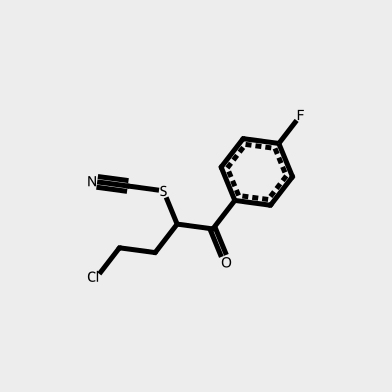 N#CSC(CCCl)C(=O)c1ccc(F)cc1